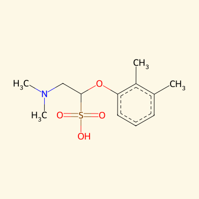 Cc1cccc(OC(CN(C)C)S(=O)(=O)O)c1C